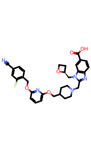 N#Cc1ccc(COc2cccc(OCC3CCN(Cc4nc5ccc(C(=O)O)cc5n4C[C@@H]4CCO4)CC3)n2)c(F)c1